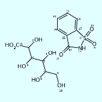 O=C(O)C(O)C(O)C(O)C(O)CO.O=C1NS(=O)(=O)c2ccccc21